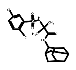 CC(C)(NS(=O)(=O)c1cc(Cl)ccc1Cl)C(=O)NC1C2CC3CC(C2)CC1C3